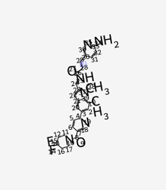 Cc1cc(-c2ccc(C(=O)N3CCC(F)(F)CC3)cn2)cc2cc(CNC(=O)/C=C/c3ccc(N)nc3)n(C)c12